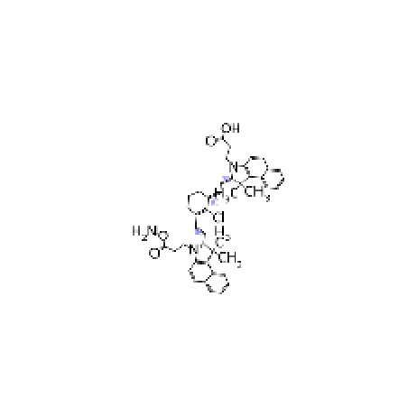 CC1(C)C(/C=C/C2=C(Cl)C(=C/C=C3/N(CCC(=O)O)c4ccc5ccccc5c4C3(C)C)/CCC2)=[N+](CCC(=O)ON)c2ccc3ccccc3c21